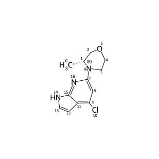 C[C@@H]1COCCN1c1cc(Cl)c2cc[nH]c2n1